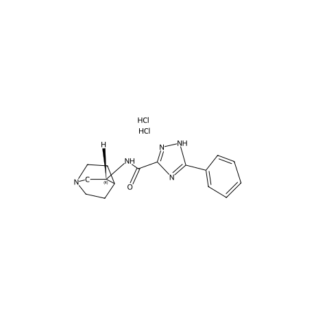 Cl.Cl.O=C(N[C@H]1CN2CCC1CC2)c1n[nH]c(-c2ccccc2)n1